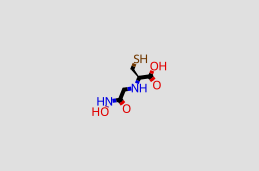 O=C(CN[C@@H](CS)C(=O)O)NO